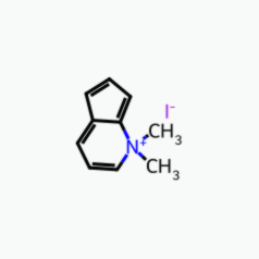 C[N+]1(C)C=CC=C2C=CC=C21.[I-]